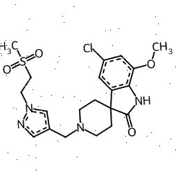 COc1cc(Cl)cc2c1NC(=O)C21CCN(Cc2cnn(CCS(C)(=O)=O)c2)CC1